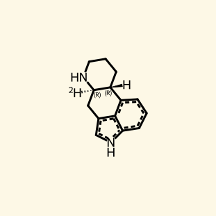 [2H][C@@]12Cc3c[nH]c4cccc(c34)[C@H]1CCCN2